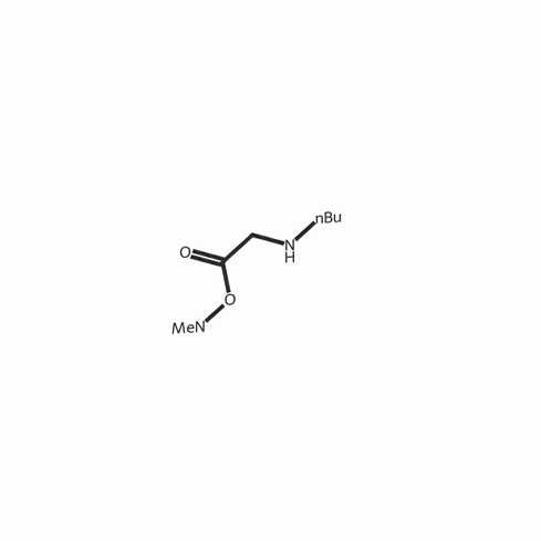 CCCCNCC(=O)ONC